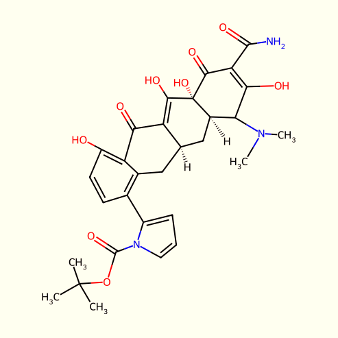 CN(C)C1C(O)=C(C(N)=O)C(=O)[C@]2(O)C(O)=C3C(=O)c4c(O)ccc(-c5cccn5C(=O)OC(C)(C)C)c4C[C@@H]3C[C@H]12